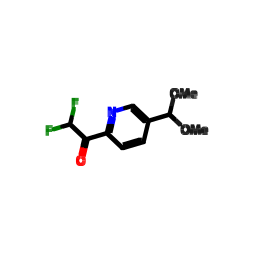 COC(OC)c1ccc(C(=O)C(F)F)nc1